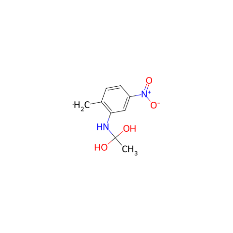 [CH2]c1ccc([N+](=O)[O-])cc1NC(C)(O)O